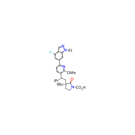 CCn1ncc2c(F)cc(-c3ccc(C(CC4(C(C)(C)C)CCN(C(=O)O)C4=O)C(C)C)c(OC)n3)cc21